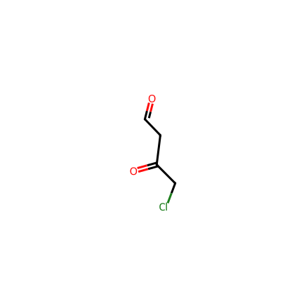 O=CCC(=O)CCl